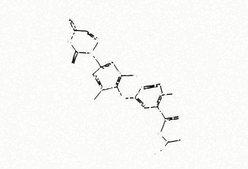 CC(C)C(C)NC(=O)c1cc(Oc2c(Br)cc(-n3ncc(=O)[nH]c3=O)cc2Br)ccc1O